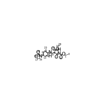 CCOC(=O)NC(=O)/C(=C/Nc1ccc(N2CCOC2=O)cc1C)C(=O)OCC